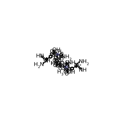 CC1(C)[C@H](NC(=O)/C(=N\O[C@](C)(C(=O)O)[C@H]2CCc3cc(-c4cn(CCCN)[n+](CC5CNC5)c4)ccc3O2)c2csc(N)n2)C(=O)N1OS(=O)(=O)ON1C(=O)[C@@H](NC(=O)/C(=N\O[C@](C)(C(=O)O)[C@H]2CCc3cc(-c4cn(CCCN)[n+](CC5CNC5)c4)ccc3O2)c2csc(N)n2)C1(C)C